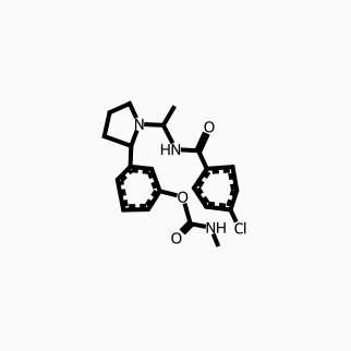 CNC(=O)Oc1cccc(C2CCCN2C(C)NC(=O)c2ccc(Cl)cc2)c1